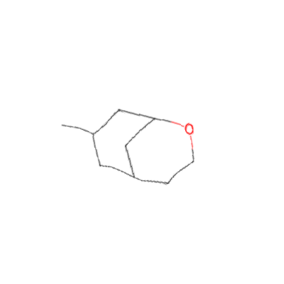 CC1CC2CCOC(C1)C2